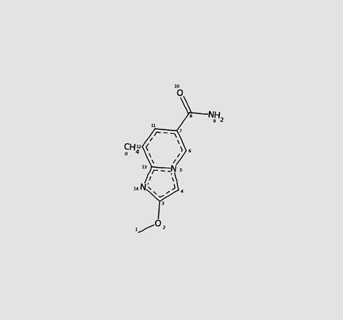 C.COc1cn2cc(C(N)=O)ccc2n1